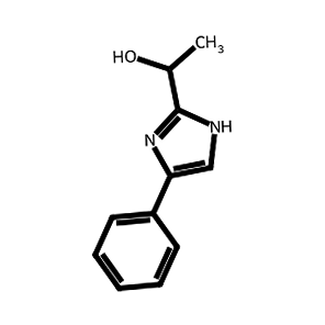 CC(O)c1nc(-c2ccccc2)c[nH]1